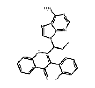 CCC(c1oc2ccccc2c(=O)c1-c1ccccc1F)n1cnc2c(N)ncnc21